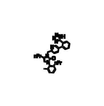 CCCc1cccc(C)c1-n1cc(CCC)n(Cc2ccc(-c3ccccc3-c3nnn[nH]3)cn2)c1=O